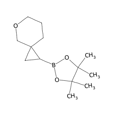 CC1(C)OB(C2CC23CCCOC3)OC1(C)C